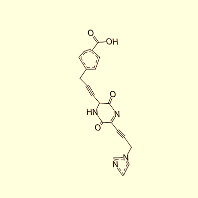 O=C1NC(C#CCc2ccc(C(=O)O)cc2)C(=O)N=C1C#CCn1ccnc1